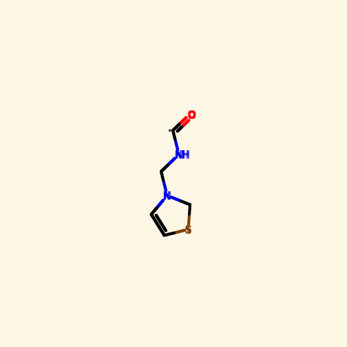 O=[C]NCN1C=CSC1